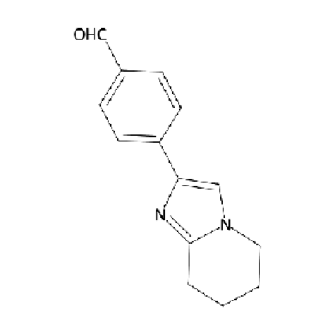 O=Cc1ccc(-c2cn3c(n2)CCCC3)cc1